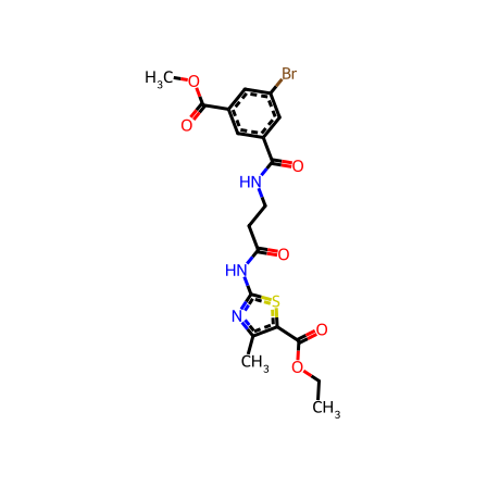 CCOC(=O)c1sc(NC(=O)CCNC(=O)c2cc(Br)cc(C(=O)OC)c2)nc1C